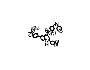 CCCCOC(C)Oc1ccc(-c2ccc3c(c2)C=C(C(=O)Nc2ccc(CN(C)C4CCOCC4)cc2)CC(c2ccc4c(c2)OCO4)N3)cc1